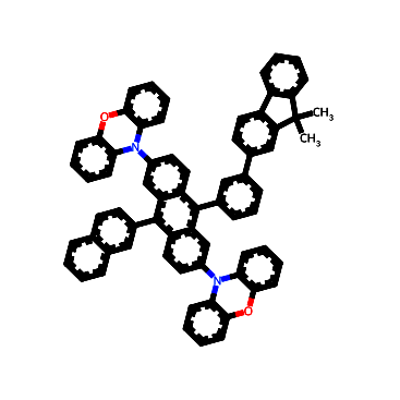 CC1(C)c2ccccc2-c2ccc(-c3cccc(-c4c5ccc(N6c7ccccc7Oc7ccccc76)cc5c(-c5ccc6ccccc6c5)c5ccc(N6c7ccccc7Oc7ccccc76)cc45)c3)cc21